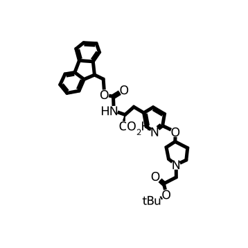 CC(C)(C)OC(=O)CN1CCC(Oc2ccc(C[C@H](NC(=O)OCC3c4ccccc4-c4ccccc43)C(=O)O)cn2)CC1